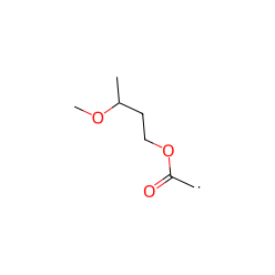 [CH2]C(=O)OCCC(C)OC